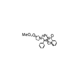 CCCN(C(=O)c1ccccc1)N(C)[C@H](CN1CC[C@H](OCOC)C1)c1ccccc1